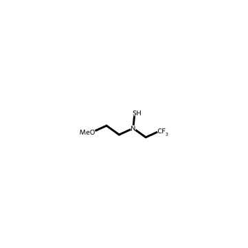 COCCN(S)CC(F)(F)F